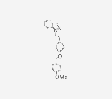 COc1ccc(COc2ccc(CCn3ncc4ccccc43)cc2)cc1